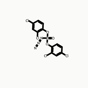 [N-]=[N+]=NP(=O)(Oc1ccc(Cl)cc1Cl)Oc1ccc(Cl)cc1Cl